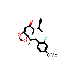 C#CC(C)[C@@H]1C[C@]2([C@@H](C)Cc3ccc(OC)cc3F)OCOC2=CC1=O